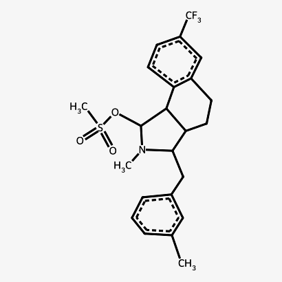 Cc1cccc(CC2C3CCc4cc(C(F)(F)F)ccc4C3C(OS(C)(=O)=O)N2C)c1